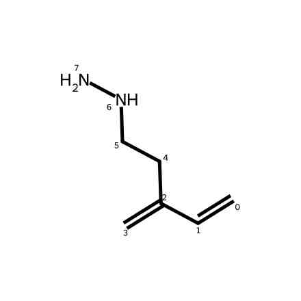 C=CC(=C)CCNN